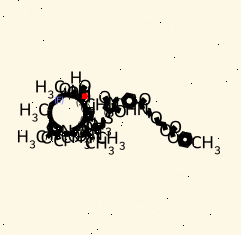 COc1cc2cc(c1Cl)N(C)C(=O)C[C@H](OC(=O)[C@H](C)N(C)C(=O)CCS[C@H]1CC(=O)N(C[C@H]3CC[C@H](C(=O)NCCOCCOC(=O)Oc4ccc(C)cc4)CC3)C1=O)[C@]1(C)CC[C@H]1[C@H](C)[C@@H]1C[C@@](O)(NC(=O)O1)[C@H](OC)/C=C/CC(C)C2